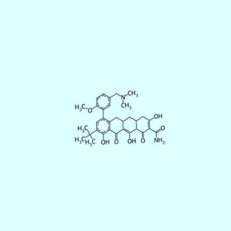 COc1ccc(CN(C)C)cc1-c1cc(C(C)(C)C)c(O)c2c1CC1CC3CC(O)=C(C(N)=O)C(=O)C3C(O)=C1C2=O